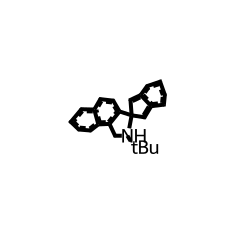 CC(C)(C)NCc1c(C2(C)C=c3ccccc3=C2)ccc2ccccc12